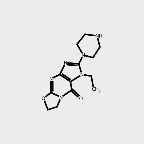 CCn1c(N2CCNCC2)nc2nc3n(c(=O)c21)CCO3